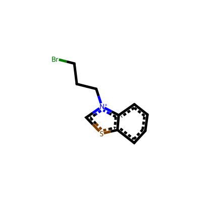 BrCCC[n+]1csc2ccccc21